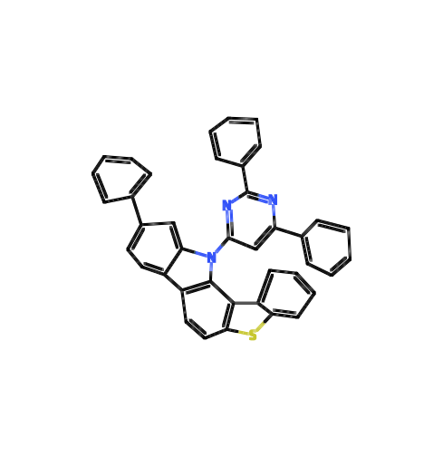 c1ccc(-c2ccc3c4ccc5sc6ccccc6c5c4n(-c4cc(-c5ccccc5)nc(-c5ccccc5)n4)c3c2)cc1